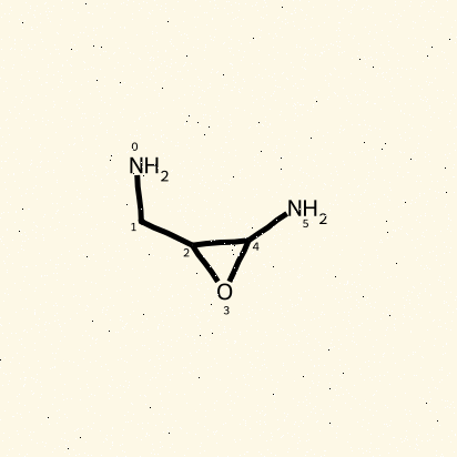 NCC1OC1N